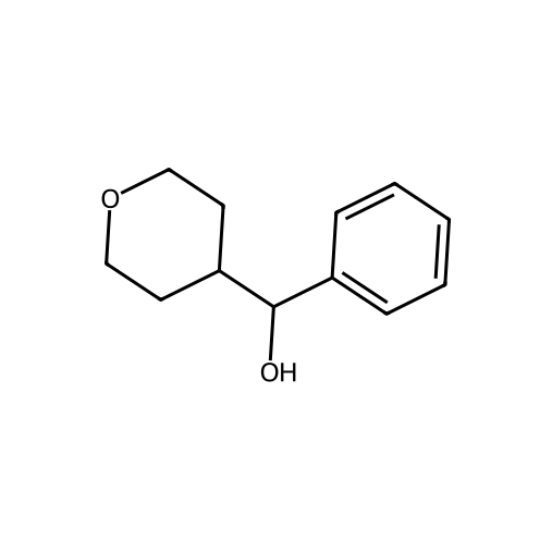 OC(c1ccccc1)C1CCOCC1